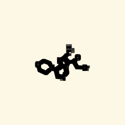 Cc1nc2c(N3CCOCC3)cncn2c1C(=O)CBr